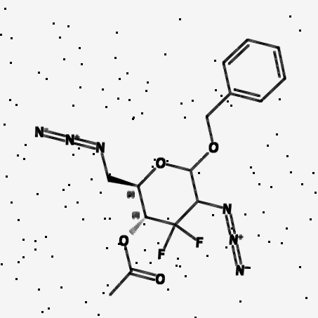 CC(=O)O[C@@H]1[C@@H](CN=[N+]=[N-])OC(OCc2ccccc2)C(N=[N+]=[N-])C1(F)F